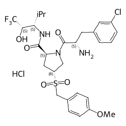 COc1ccc(CS(=O)(=O)[C@@H]2C[C@@H](C(=O)N[C@@H](C(C)C)[C@H](O)C(F)(F)F)N(C(=O)[C@@H](N)Cc3cccc(Cl)c3)C2)cc1.Cl